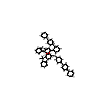 CC1(C)c2ccccc2-c2cc(N(c3ccc(-c4ccc(-c5ccccc5)cc4)cc3)c3cccc(-c4ccc(-c5ccccc5)cc4)c3-c3ccc4c(c3)oc3ccccc34)ccc21